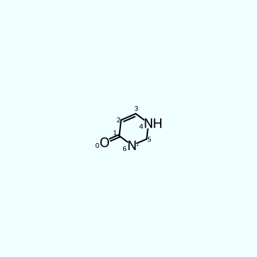 O=C1C=CNC[N]1